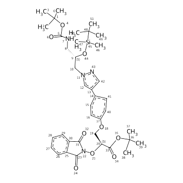 CC(C)(C)OC(=O)NC[C@@H](Cn1cc(-c2ccc(OC[C@H](ON3C(=O)c4ccccc4C3=O)C(=O)OC(C)(C)C)cc2)cn1)O[Si](C)(C)C(C)(C)C